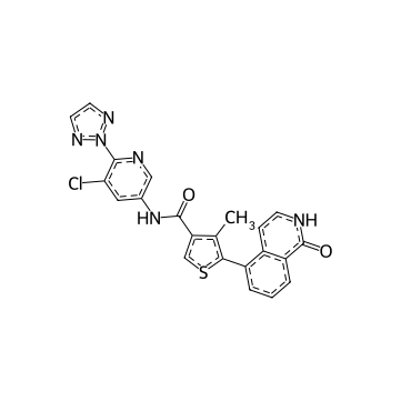 Cc1c(C(=O)Nc2cnc(-n3nccn3)c(Cl)c2)csc1-c1cccc2c(=O)[nH]ccc12